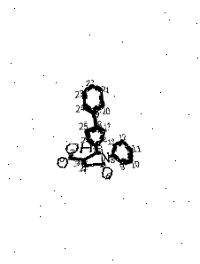 O=C(O)C1CC(=O)N(c2ccccc2)C1c1ccc(-c2ccccc2)cc1